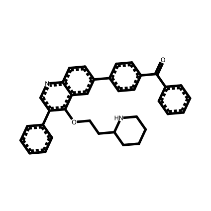 O=C(c1ccccc1)c1ccc(-c2ccc3ncc(-c4ccccc4)c(OCCC4CCCCN4)c3c2)cc1